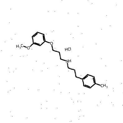 COc1cccc(OCCCNCCCc2ccc(C)cc2)c1.Cl